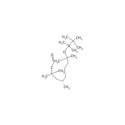 C[C@@H](CCCC(C)(C)O[Si](C)(C)C(C)(C)C)CC(C)(C)CC=O